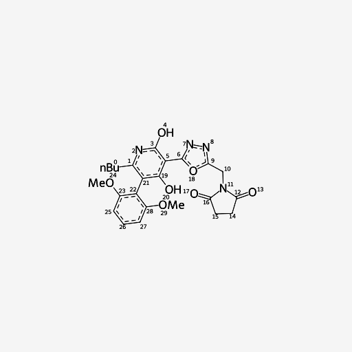 CCCCc1nc(O)c(-c2nnc(CN3C(=O)CCC3=O)o2)c(O)c1-c1c(OC)cccc1OC